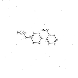 COc1ccccc1C1CC=C(CC(=O)O)CC1